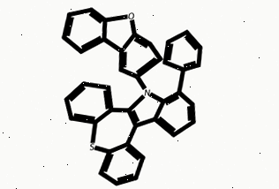 c1ccc(-c2cccc3c4c(n(-c5ccc6oc7ccccc7c6c5)c23)-c2ccccc2Sc2ccccc2-4)cc1